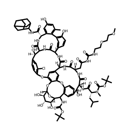 COCCOCCNC(=O)NC(=O)C[C@@H]1NC(=O)[C@H](NC(=O)[C@@H](CC(C)C)N(C)C(=O)OC(C)(C)C)[C@H](O)c2ccc3c(c2)C(NC(=O)OC(C)(C)C)[C@H]2O[C@@H](Oc4c5cc(cc4O3)[C@@H](NC1=O)C(=O)N[C@H]1C(=O)N[C@H](C(=O)N[C@H](C(=O)NC3C4CC6CC(C4)CC3C6)c3cc(O)cc(C)c3-c3cc1ccc3O)[C@H](O)c1ccc(c(Cl)c1)O5)[C@H](O)[C@@H](O)[C@@H]2O